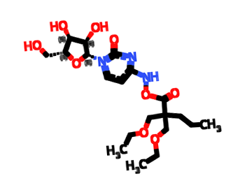 CCCC(COCC)(COCC)C(=O)ONc1ccn([C@@H]2O[C@H](CO)[C@@H](O)[C@H]2O)c(=O)n1